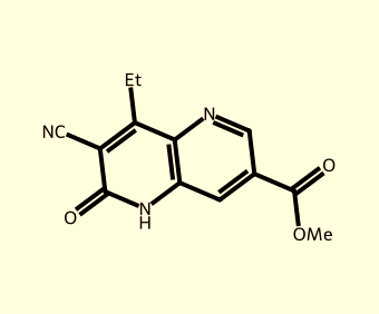 CCc1c(C#N)c(=O)[nH]c2cc(C(=O)OC)cnc12